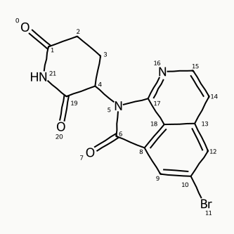 O=C1CCC(N2C(=O)c3cc(Br)cc4ccnc2c34)C(=O)N1